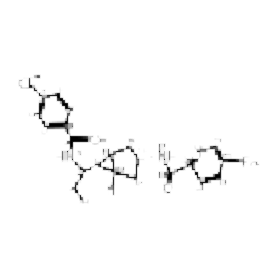 CCC(NC(=O)c1ccc(Cl)cc1)[C@H]1C2C[C@H](NC(=O)c3ccc(F)cn3)C[C@@H]21